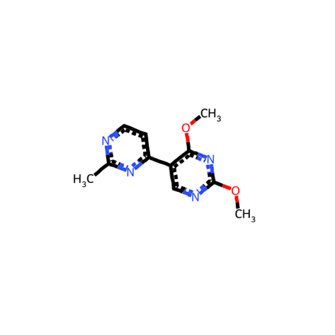 COc1ncc(-c2ccnc(C)n2)c(OC)n1